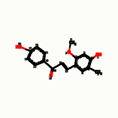 COc1cc(O)c(C)cc1C=CC(=O)c1ccc(O)cc1